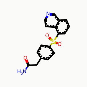 NC(=O)Cc1ccc(S(=O)(=O)c2cccc3cnccc23)cc1